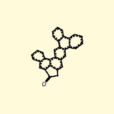 O=C1Cc2cc3cc4c5ccccc5c5ccccc5c4cc3c3c2c1cc1ccccc13